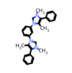 CC1=C(c2ccccc2)N(C)CN1c1cccc(N2CN(C)C(c3ccccc3)=C2C)c1